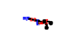 NCCOCCOCCNCC(O)COc1ccc(OCCc2ccccc2)c(OCCc2ccccc2)c1